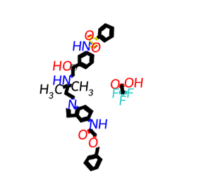 CC(C)(CCn1ccc2cc(NC(=O)COCc3ccccc3)ccc21)NC[C@H](O)c1cccc(NS(=O)(=O)c2ccccc2)c1.O=C(O)C(F)(F)F